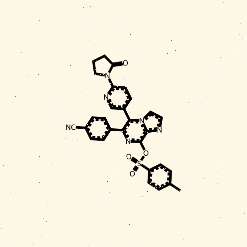 Cc1ccc(S(=O)(=O)Oc2nc(-c3ccc(C#N)cc3)c(-c3ccc(N4CCCC4=O)nc3)n3ccnc23)cc1